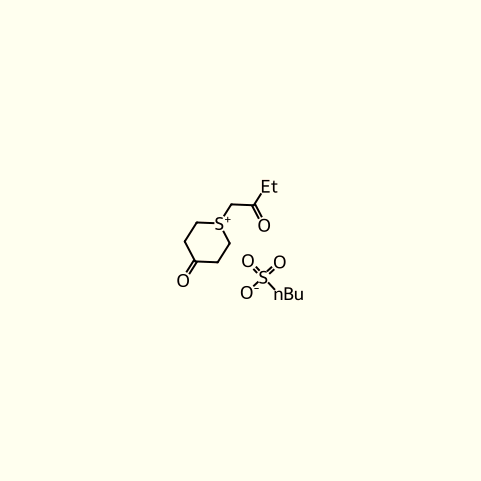 CCC(=O)C[S+]1CCC(=O)CC1.CCCCS(=O)(=O)[O-]